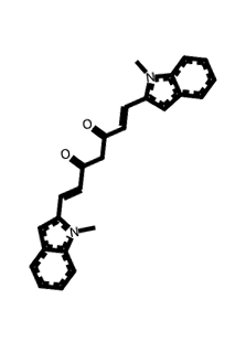 Cn1c(/C=C/C(=O)CC(=O)/C=C/c2cc3ccccc3n2C)cc2ccccc21